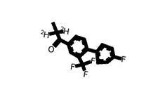 [2H]C([2H])(C)C(=O)c1ccc(-c2ccc(F)cc2)c(C(F)(F)F)c1